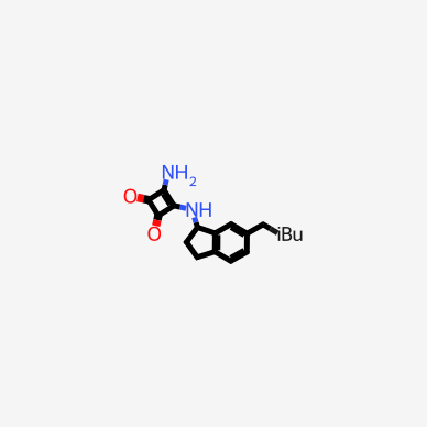 CCC(C)Cc1ccc2c(c1)C(Nc1c(N)c(=O)c1=O)CC2